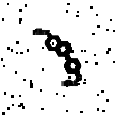 CCCCCCCCOc1ccc(-c2ccc3c(c2)CCC(CCCCCC)C3)cc1